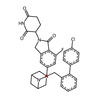 O=C1CCC(N2Cc3cc(CN4C5CC4CN(Cc4ccccc4-c4ccc(Cl)cc4)C5)cc(F)c3C2=O)C(=O)N1